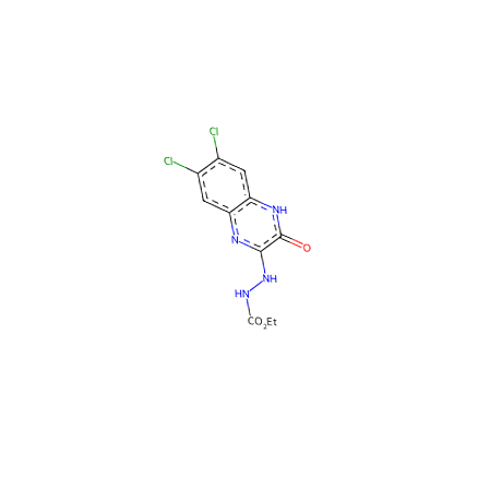 CCOC(=O)NNc1nc2cc(Cl)c(Cl)cc2[nH]c1=O